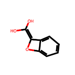 OC(O)=C1Oc2ccccc21